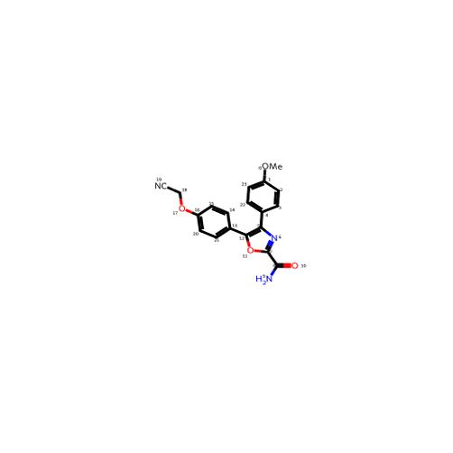 COc1ccc(-c2nc(C(N)=O)oc2-c2ccc(OCC#N)cc2)cc1